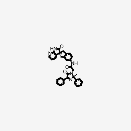 C[C@@]1(c2ccccc2)N=C(c2ccccc2)C(=O)N1CC(=O)Nc1ccc2c(c1)C[C@@]1(C2)C(=O)Nc2ncccc21